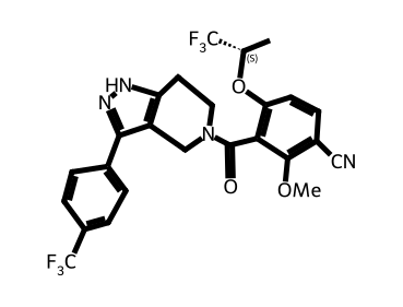 COc1c(C#N)ccc(O[C@@H](C)C(F)(F)F)c1C(=O)N1CCc2[nH]nc(-c3ccc(C(F)(F)F)cc3)c2C1